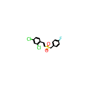 O=S(=O)(/C=C/c1ccc(Cl)cc1Cl)Cc1ccc(F)cc1